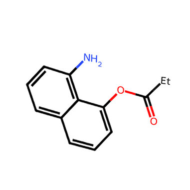 CCC(=O)Oc1cccc2cccc(N)c12